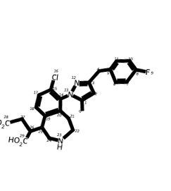 Cc1cc(Cc2ccc(F)cc2)nn1-c1c(Cl)ccc2c1CCNCC2C(CC(=O)O)C(=O)O